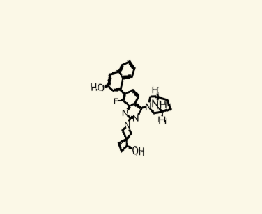 Oc1cc(-c2ccc3c(N4C[C@H]5CC[C@@H](C4)N5)nc(N4CC5(CCC5O)C4)nc3c2F)c2ccccc2c1